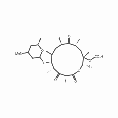 CC[C@@H]1OC(=O)[C@H](C)C(=O)[C@H](C)[C@@H](OC2CC(NC)C[C@@H](C)O2)C(C)C[C@@H](C)C(=O)[C@H](C)C[C@]1(C)OC(=O)O